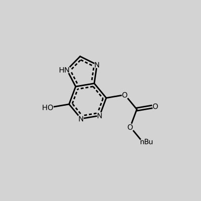 CCCCOC(=O)Oc1nnc(O)c2[nH]cnc12